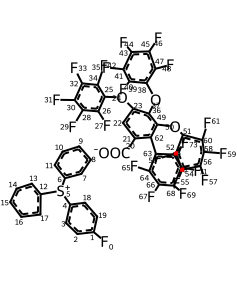 Fc1ccc([S+](c2ccccc2)c2ccccc2)cc1.O=C([O-])c1cc(Oc2c(F)c(F)c(F)c(F)c2F)c(Oc2c(F)c(F)c(F)c(F)c2F)c(Oc2c(F)c(F)c(F)c(F)c2F)c1-c1c(F)c(F)c(F)c(F)c1F